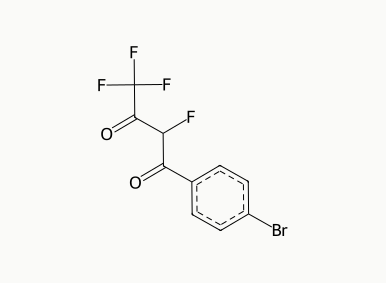 O=C(c1ccc(Br)cc1)C(F)C(=O)C(F)(F)F